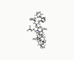 CC(=O)O[C@H]1C[C@@]2(C)[C@@H](C[C@@H](O)[C@H]3[C@@]4(C)CC[C@@H](O)[C@@H](C)[C@@H]4CC[C@@]32C)/C1=C(\CCC=C(C)C)C(=O)OC(CNC(C)(C)C)COc1nsnc1N1CCOCC1